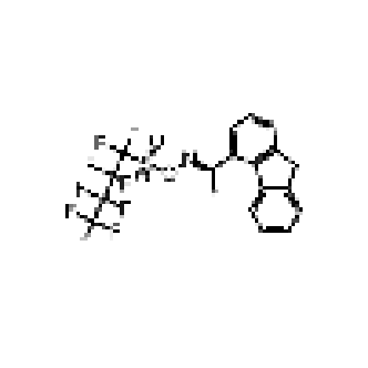 C/C(=N\OS(=O)(=O)C(F)(F)C(F)(F)C(F)(F)C(F)(F)F)c1cccc2c1-c1ccccc1C2